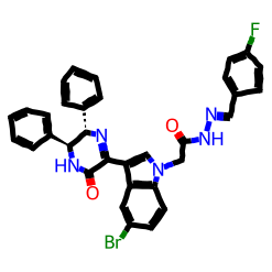 O=C(Cn1cc(C2=N[C@@H](c3ccccc3)[C@H](c3ccccc3)NC2=O)c2cc(Br)ccc21)NN=Cc1ccc(F)cc1